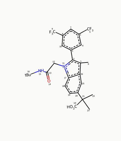 Cc1c(-c2cc(C(F)(F)F)cc(C(F)(F)F)c2)n(CC(=O)NC(C)(C)C)c2ccc(C(C)(C)C(=O)O)cc12